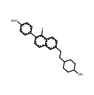 CCCCC1CCC(CCc2ccc3c(F)c(-c4ccc(OC)cc4)ccc3c2)CC1